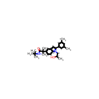 Cc1cc(C)cc(-c2cc3cc(C(C)(C)C(=O)NC(C)(C)C)ccc3n2CC(C)O)c1